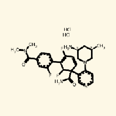 C[C@@H]1C[C@H](N)CN(c2ccncc2C2(C(N)=O)C=CC(F)=C(c3ccc(C(=O)N(C)C)cc3F)C2F)C1.Cl.Cl